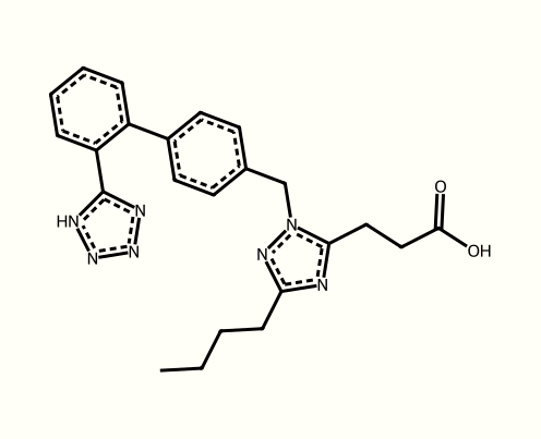 CCCCc1nc(CCC(=O)O)n(Cc2ccc(-c3ccccc3-c3nnn[nH]3)cc2)n1